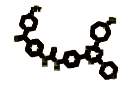 CCCN1CCN(C(=O)c2ccc(NC(=O)Nc3ccc(-c4nc(N5CCOCC5)nc(N5CCCN(CC)CC5)n4)cc3)cc2)CC1